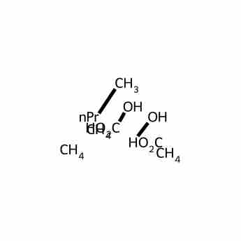 C.C.C.CCCC.O=C(O)O.O=C(O)O